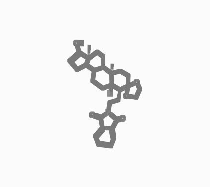 C[C@]12CCC3C(CC[C@H]4[C@H](CCN5C(=O)c6ccccc6C5=O)C5(CC[C@]34C)OCCO5)C1CC=C2O